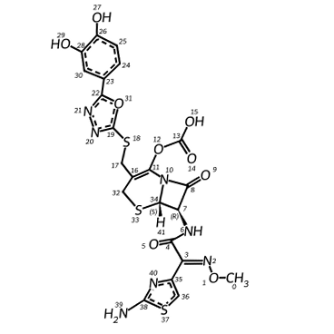 CON=C(C(=O)N[C@@H]1C(=O)N2C(OC(=O)O)=C(CSc3nnc(-c4ccc(O)c(O)c4)o3)CS[C@@H]12)c1csc(N)n1